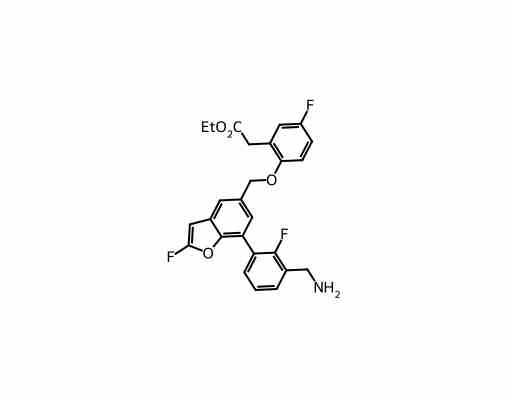 CCOC(=O)Cc1cc(F)ccc1OCc1cc(-c2cccc(CN)c2F)c2oc(F)cc2c1